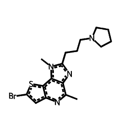 Cc1nc2cc(Br)sc2c2c1nc(CCCN1CCCC1)n2C